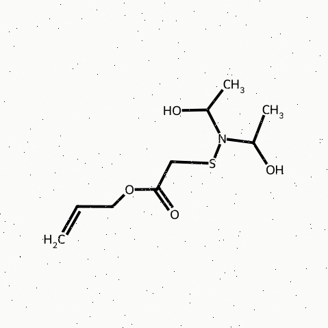 C=CCOC(=O)CSN(C(C)O)C(C)O